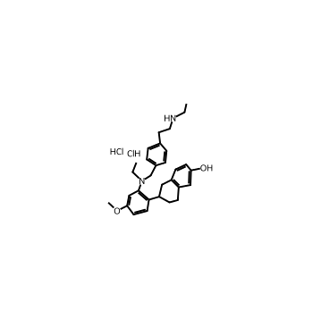 CCNCCc1ccc(CN(CC)c2cc(OC)ccc2C2CCc3cc(O)ccc3C2)cc1.Cl.Cl